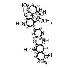 CN1CC[C@]23c4c5c(-c6ccc(Nc7cc8c(Cl)c(Br)ccc8n(C)c7=O)nc6)cc(O)c4O[C@H]2[C@@H](O)C=C[C@H]3[C@H]1C5